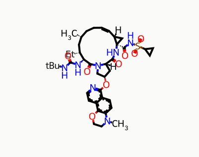 CC[C@@H]1C[C@H](C)CCC=C[C@@H]2C[C@@]2(C(=O)NS(=O)(=O)C2CC2)NC(=O)[C@@H]2C[C@@H](Oc3nccc4c5c(ccc34)N(C)CCO5)CN2C(=O)[C@H]1NC(=O)NC(C)(C)C